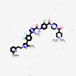 COc1cccc(CCn2cc(-c3ccc(-c4cnc(C(=O)Nc5ccc(C(=O)N6CCN(C(=O)C7CC[N+](C)(C)CC7)CC6)c(Cl)c5)n4C)c(F)c3F)c(C)n2)n1